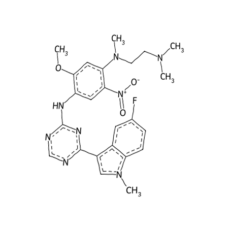 COc1cc(N(C)CCN(C)C)c([N+](=O)[O-])cc1Nc1ncnc(-c2cn(C)c3ccc(F)cc23)n1